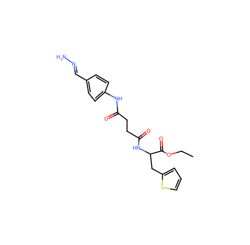 CCOC(=O)C(Cc1cccs1)NC(=O)CCC(=O)Nc1ccc(C=NN)cc1